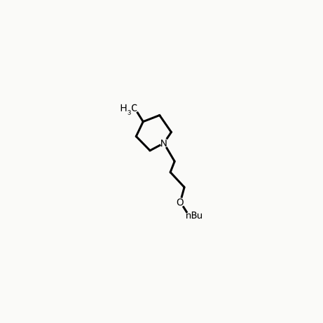 CCCCOCCCN1CCC(C)CC1